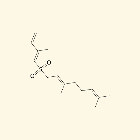 C=C/C(C)=C/S(=O)(=O)C/C=C(\C)CCC=C(C)C